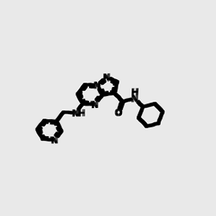 O=C(NC1CCCCC1)c1cnn2ccc(NCc3cccnc3)nc12